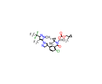 Cn1nc(C(F)(F)C(F)(F)F)c(C(F)(F)F)c1-n1cc(-c2ccc(Cl)c(C(=O)N(COC(=O)OCC3(C(=O)O)CC3)C3(C#N)CC3)c2)cn1